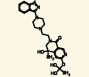 BC(O)(O)Oc1cc2c(cn1)C(=O)N(CCN1CCN(c3nsc4ccccc34)CC1)CC2(B)O